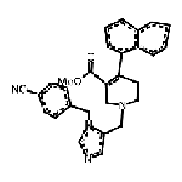 COC(=O)C1=C(c2cccc3ccccc23)CCN(Cc2cncn2Cc2ccc(C#N)cc2)C1